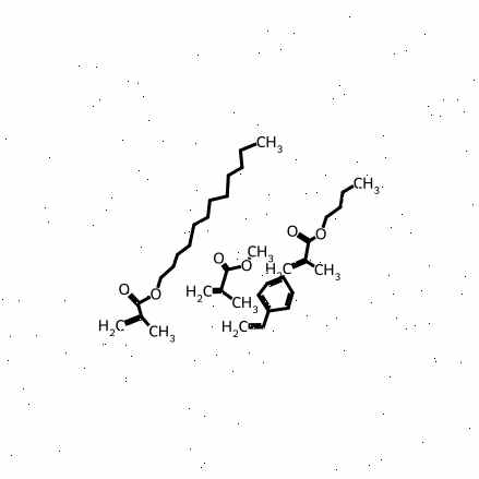 C=C(C)C(=O)OC.C=C(C)C(=O)OCCCC.C=C(C)C(=O)OCCCCCCCCCCCC.C=Cc1ccccc1